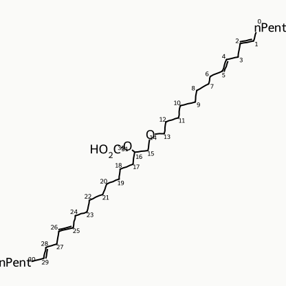 CCCCCC=CCC=CCCCCCCCCOCC(CCCCCCCCC=CCC=CCCCCC)OC(=O)O